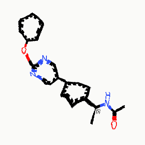 CC(=O)N[C@@H](C)c1ccc(-c2cnc(Oc3ccccc3)nc2)cc1